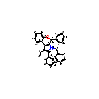 CCc1c2c(n(Cc3ccccc3)c1-c1ccccc1)C(c1ccccc1)Oc1ccccc1-2